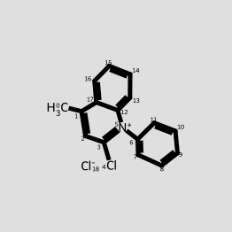 Cc1cc(Cl)[n+](-c2ccccc2)c2ccccc12.[Cl-]